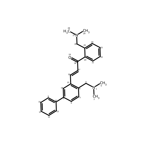 CN(C)Cc1ccc(-c2ccccc2)cc1C=CC(=O)c1ccccc1CN(C)C